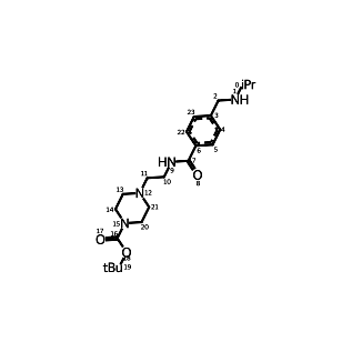 CC(C)NCc1ccc(C(=O)NCCN2CCN(C(=O)OC(C)(C)C)CC2)cc1